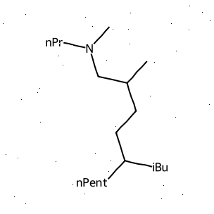 CCCCCC(CCC(C)CN(C)CCC)C(C)CC